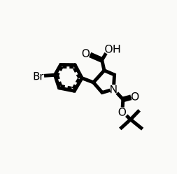 CC(C)(C)OC(=O)N1CC(C(=O)O)C(c2ccc(Br)cc2)C1